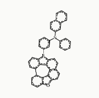 c1ccc(N(c2cccc(-n3c4cccc5c4c4c6c(ccc7oc8cccc-5c8c76)ccc43)c2)c2ccc3ccccc3c2)cc1